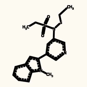 CCSN(c1cncc(-c2cc3ccccc3n2C)c1)S(=O)(=O)CC